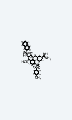 Cc1ccc(S(=O)(=O)Nc2ccc(C[C@@H](NS(=O)(=O)c3ccc4ccccc4c3)C(=O)NCC3CCCN(C(=N)N)C3)cc2)cc1.Cl